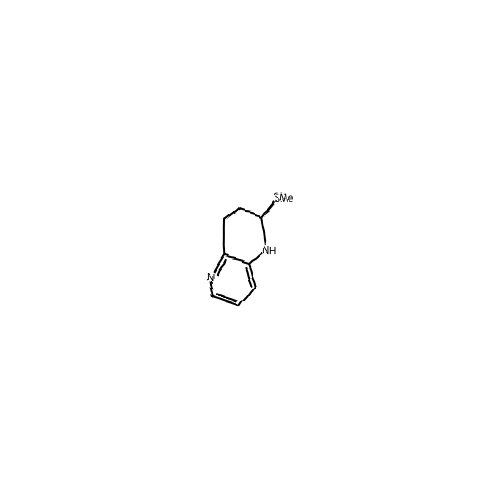 CSC1CCc2ncccc2N1